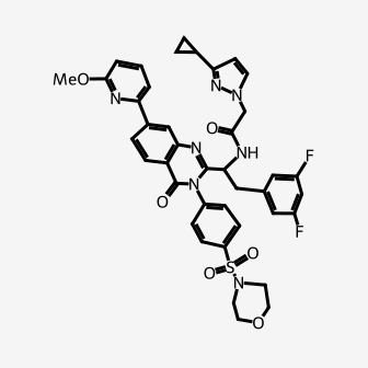 COc1cccc(-c2ccc3c(=O)n(-c4ccc(S(=O)(=O)N5CCOCC5)cc4)c(C(Cc4cc(F)cc(F)c4)NC(=O)Cn4ccc(C5CC5)n4)nc3c2)n1